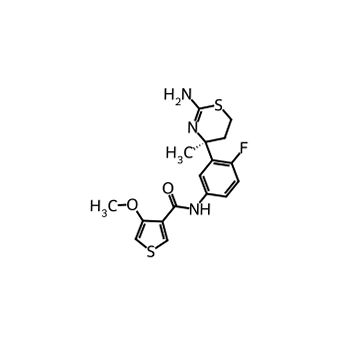 COc1cscc1C(=O)Nc1ccc(F)c([C@]2(C)CCSC(N)=N2)c1